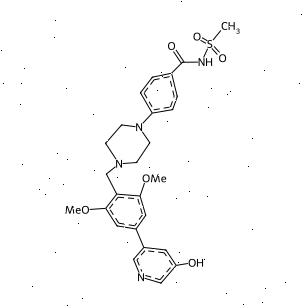 COc1cc(-c2cncc(O)c2)cc(OC)c1CN1CCN(c2ccc(C(=O)NS(C)(=O)=O)cc2)CC1